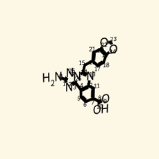 Nc1nc2c3ccc(C(=O)O)cc3nc(Cc3ccc4c(c3)OCO4)n2n1